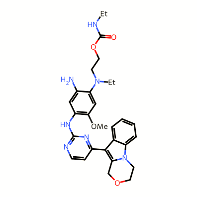 CCNC(=O)OCCN(CC)c1cc(OC)c(Nc2nccc(-c3c4n(c5ccccc35)CCOC4)n2)cc1N